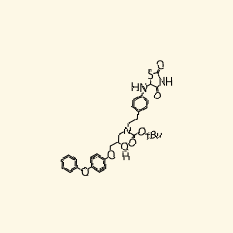 CC(C)(C)OC(=O)N(CCc1ccc(NC2SC(=O)NC2=O)cc1)CC(O)COc1ccc(Oc2ccccc2)cc1